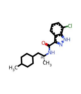 CC1CCC(C[C@@H](C)NC(=O)c2n[nH]c3c(Cl)cccc23)CC1